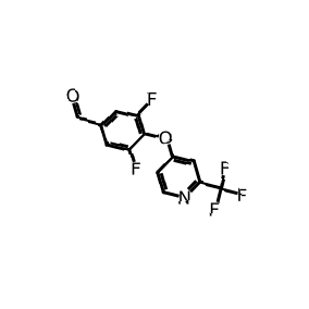 O=Cc1cc(F)c(Oc2ccnc(C(F)(F)F)c2)c(F)c1